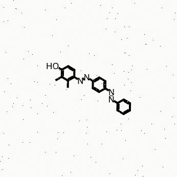 Cc1c(O)ccc(N=Nc2ccc(N=Nc3ccccc3)cc2)c1C